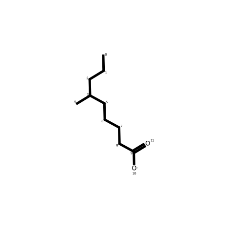 CCCC(C)CCCCC([O])=O